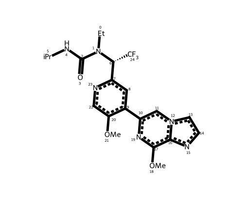 CCN(C(=O)NC(C)C)[C@@H](c1cc(-c2cn3ccnc3c(OC)n2)c(OC)cn1)C(F)(F)F